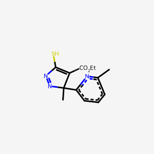 CCOC(=O)C1=C(S)N=NC1(C)c1cccc(C)n1